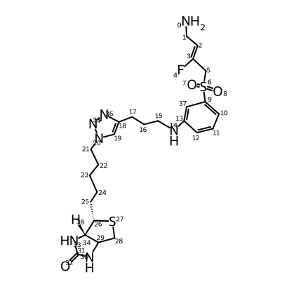 NC/C=C(\F)CS(=O)(=O)c1cccc(NCCCc2cn(CCCCC[C@@H]3SCC4NC(=O)N[C@@H]43)nn2)c1